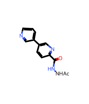 CC(=O)NNC(=O)c1ccc(-c2cccnc2)cn1